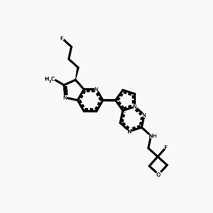 CC1=Nc2ccc(-c3ccn4nc(NCC5(F)COC5)ncc34)nc2[C@@H]1CCCF